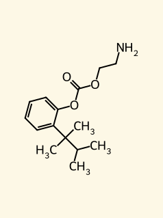 CC(C)C(C)(C)c1ccccc1OC(=O)OCCN